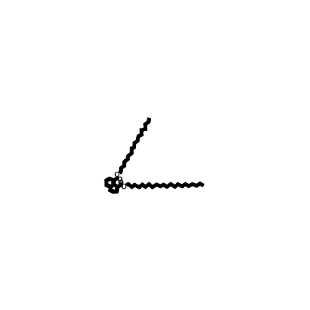 CCCCCCCCCCCCCCCCCCCCCCOC(=O)c1cccc2cccc(C(=O)OCCCCCCCCCCCCCCCCCC)c12